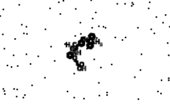 CC(=CC(=O)Nc1ccccc1OCCCC(=O)O)c1ccc2c(ccn2C(c2ccccc2)c2ccccc2C)c1